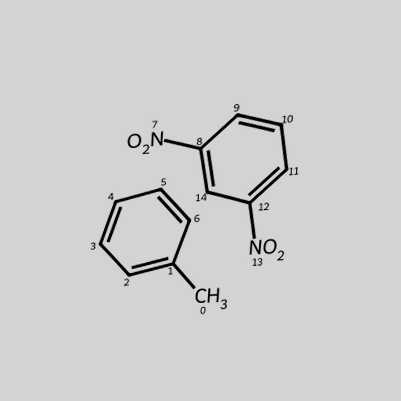 Cc1ccccc1.O=[N+]([O-])c1cccc([N+](=O)[O-])c1